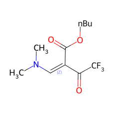 CCCCOC(=O)/C(=C\N(C)C)C(=O)C(F)(F)F